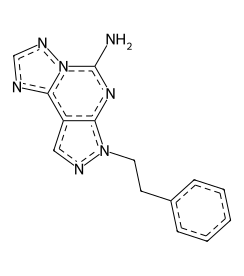 Nc1nc2c(cnn2CCc2ccccc2)c2ncnn12